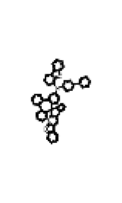 c1ccc(-c2ccc(N(c3ccc4c(c3)-c3ccccc3-c3ccccc3C43c4ccccc4-c4cc5c(cc43)oc3ccccc35)c3cccc4c3oc3ccccc34)cc2)cc1